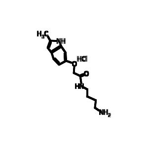 Cc1cc2ccc(OCC(=O)NCCCCN)cc2[nH]1.Cl